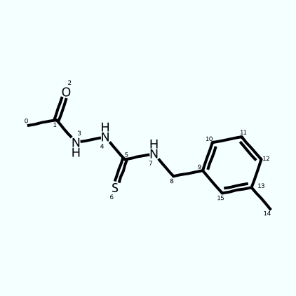 CC(=O)NNC(=S)NCc1cccc(C)c1